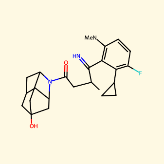 CNc1ccc(F)c(C2CC2)c1C(=N)C(C)CC(=O)N1C2CC3CC1CC(O)(C3)C2